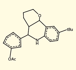 CC(=O)Oc1cccc(C2Nc3ccc(C(C)(C)C)cc3C3OCCCC23)c1